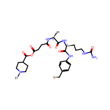 CCN1CCC(C(=O)OC(=O)CCC(=O)N[C@H](C(=O)N[C@@H](CCCNC(N)=O)C(=O)Nc2ccc(CBr)cc2)C(C)C)CC1